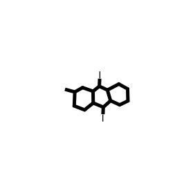 CC1CCC2C(I)C3CCCCC3C(I)C2C1